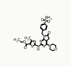 CCOC(=O)c1sc(Nc2nc(N3CCOCC3)c3c(n2)N(Cc2ccc(S(N)(=O)=O)cc2)C(=O)C3)nc1C